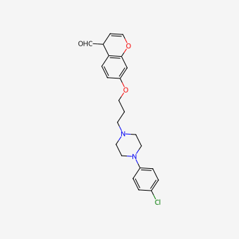 O=CC1C=COc2cc(OCCCN3CCN(c4ccc(Cl)cc4)CC3)ccc21